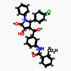 O=C(C1=C(O)C(=O)N(c2ccccc2)C1c1ccc(Cl)cc1)c1cccc(NC(=O)c2ccccc2C(=O)O)c1